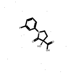 O=C(O)[C@@]1(O)CCN(c2cccc(F)c2)C1=O